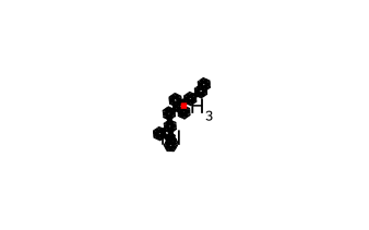 C/C(c1ccc(-c2ccc3ccccc3c2)cc1)=c1/cccc/c1=C(/c1ccccc1)c1cccc(-c2ccc3c(c2)c2ccccc2n2c4ccccc4nc32)c1